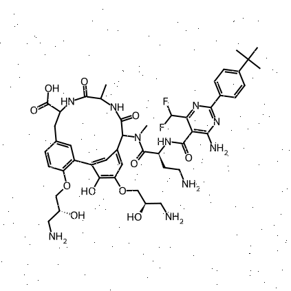 CC1NC(=O)C(N(C)C(=O)[C@H](CCN)NC(=O)c2c(N)nc(-c3ccc(C(C)(C)C)cc3)nc2C(F)F)c2cc(OC[C@H](O)CN)c(O)c(c2)-c2cc(ccc2OC[C@H](O)CN)CC(C(=O)O)NC1=O